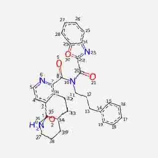 NC(=O)c1ccnc(C(=O)N(CCCc2ccccc2)C(=O)c2nc3ccccc3o2)c1CCC1CCCCC1